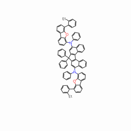 CCc1ccccc1-c1cccc2c1oc1c(N(c3ccccc3)c3cc4c(c5ccccc35)-c3c(cc(N(c5ccccc5)c5cccc6c5oc5c(-c7ccccc7CC)cccc56)c5ccccc35)C4(c3ccccc3)c3ccccc3)cccc12